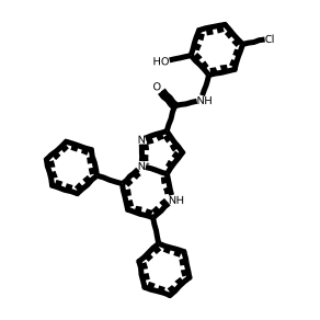 O=C(Nc1cc(Cl)ccc1O)c1cc2[nH]c(-c3ccccc3)cc(-c3ccccc3)[n+]-2n1